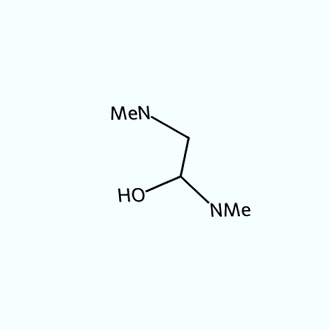 CNCC(O)NC